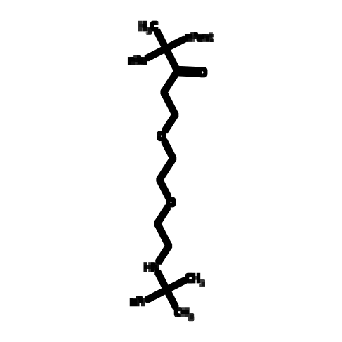 CCCCCC(C)(CCCC)C(=O)CCOCCOCCNC(C)(C)CCC